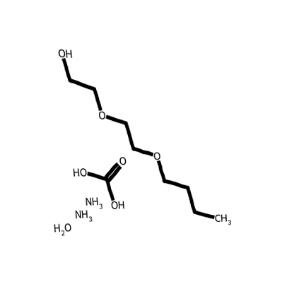 CCCCOCCOCCO.N.N.O.O=C(O)O